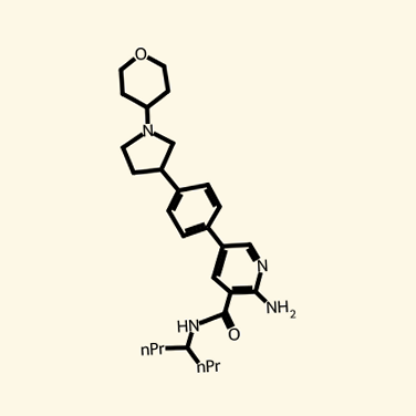 CCCC(CCC)NC(=O)c1cc(-c2ccc(C3CCN(C4CCOCC4)C3)cc2)cnc1N